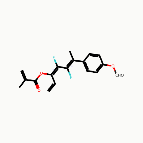 C=C/C(OC(=O)C(=C)C)=C(F)\C(F)=C(/C)c1ccc(OC=O)cc1